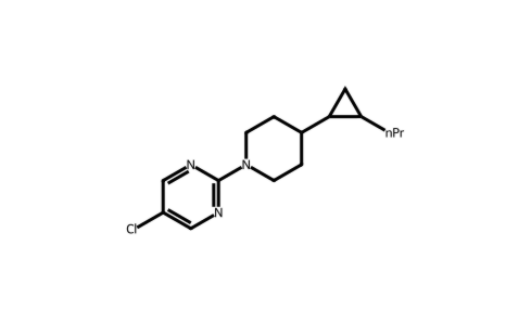 CCCC1CC1C1CCN(c2ncc(Cl)cn2)CC1